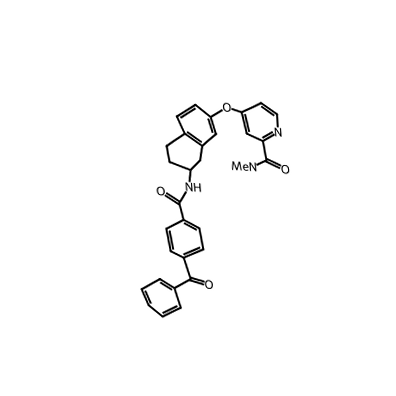 CNC(=O)c1cc(Oc2ccc3c(c2)CC(NC(=O)c2ccc(C(=O)c4ccccc4)cc2)CC3)ccn1